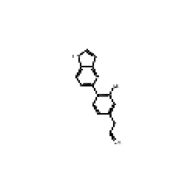 C=CCc1ccc(-c2ccc3[nH]cnc3c2)c(C#N)c1